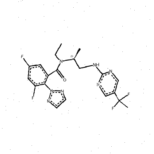 CCN(C(=O)c1cc(F)cc(F)c1-n1nccn1)[C@@H](C)CNc1ncc(C(C)(F)F)cn1